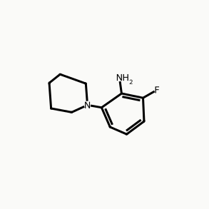 Nc1c(F)cccc1N1CCCCC1